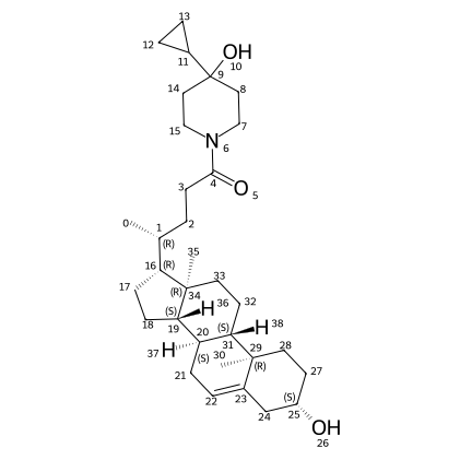 C[C@H](CCC(=O)N1CCC(O)(C2CC2)CC1)[C@H]1CC[C@H]2[C@@H]3CC=C4C[C@@H](O)CC[C@]4(C)[C@H]3CC[C@]12C